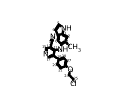 Cc1cc2[nH]ccc2cc1Nc1c(C#N)cncc1-c1ccc(OCCCl)cc1